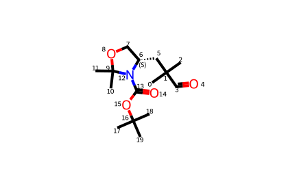 CC(C)(C=O)C[C@H]1COC(C)(C)N1C(=O)OC(C)(C)C